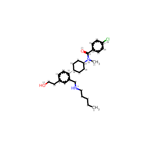 CCCCCNCc1cc(CCO)ccc1[C@H]1CC[C@H](N(C)C(=O)c2ccc(Cl)cc2)CC1